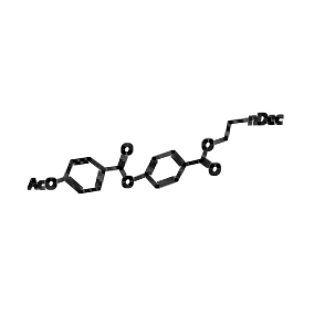 CCCCCCCCCCCCOC(=O)c1ccc(OC(=O)c2ccc(OC(C)=O)cc2)cc1